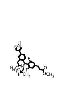 COC(=O)CCc1cc(F)c(C2c3ccc(-c4cn[nH]c4)cc3CC(C)N2CC(C)(C)F)c(F)c1